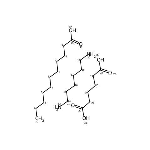 CCCCCCCCCCC(=O)O.NCCCCCCN.O=C(O)CCCCC(=O)O